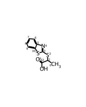 CC(Sc1nc2ccccc2s1)C(=O)O